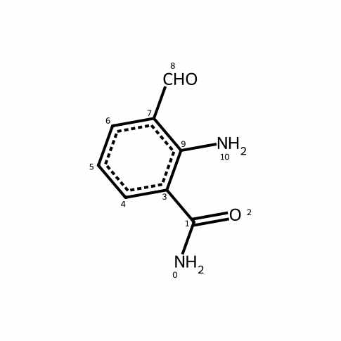 NC(=O)c1cccc(C=O)c1N